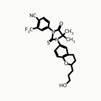 CC1(C)C(=O)N(c2ccc(C#N)c(C(F)(F)F)c2)C(=S)N1c1ccc2c(c1)CCC(CCCO)O2